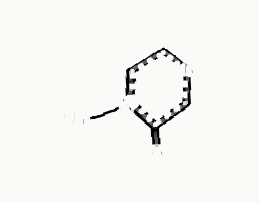 CCCn1ccncc1=O